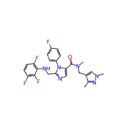 Cc1nn(C)cc1CN(C)C(=O)c1cnc(CNc2c(F)ccc(F)c2F)n1-c1ccc(F)cc1